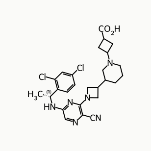 C[C@@H](Nc1cnc(C#N)c(N2CC(C3CCCN(C4CC(C(=O)O)C4)C3)C2)n1)c1ccc(Cl)cc1Cl